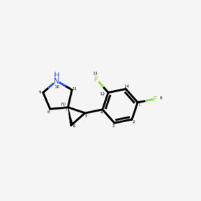 Fc1ccc(C2C[C@]23CCNC3)c(F)c1